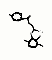 CC(CCC(=O)c1ccc(F)cc1)Oc1c(F)ccc(Cl)c1F